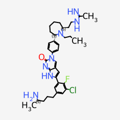 CCCN1[C@H](CCNC(C)=N)CCCC[C@H]1c1ccc(-n2cc3cc(-c4cc(CCC[C@H](C)N)cc(Cl)c4F)[nH]c3nc2=O)cc1